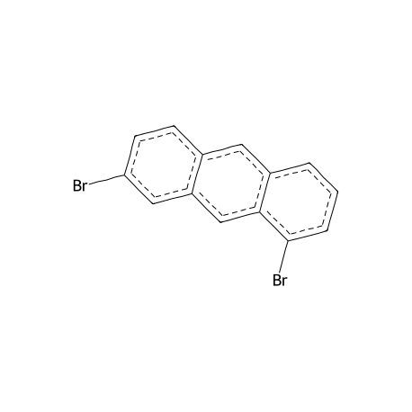 Brc1ccc2cc3cccc(Br)c3cc2c1